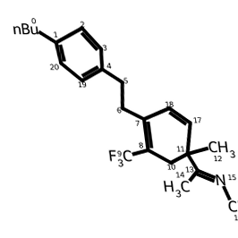 CCCCc1ccc(CCC2=C(C(F)(F)F)CC(C)(/C(C)=N/C)C=C2)cc1